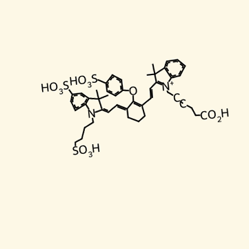 CC1(C)C(/C=C/C2=C(Oc3ccc(S(=O)(=O)O)cc3)C(=C/C=C3/N(CCCCS(=O)(=O)O)c4ccc(S(=O)(=O)O)cc4C3(C)C)/CCC2)=[N+](CCCCCC(=O)O)c2ccccc21